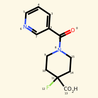 O=C(c1cccnc1)N1CCC(F)(C(=O)O)CC1